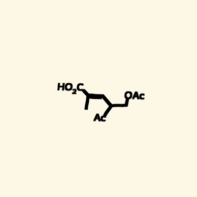 CC(=O)OCC(C=C(C)C(=O)O)C(C)=O